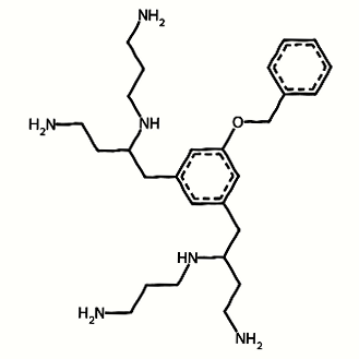 NCCCNC(CCN)Cc1cc(CC(CCN)NCCCN)cc(OCc2ccccc2)c1